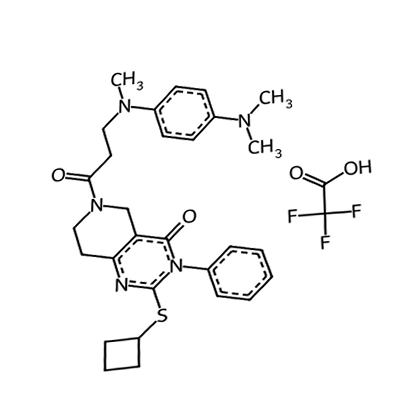 CN(C)c1ccc(N(C)CCC(=O)N2CCc3nc(SC4CCC4)n(-c4ccccc4)c(=O)c3C2)cc1.O=C(O)C(F)(F)F